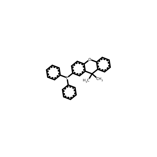 CC1(C)c2ccccc2Oc2ccc(P(c3ccccc3)c3ccccc3)cc21